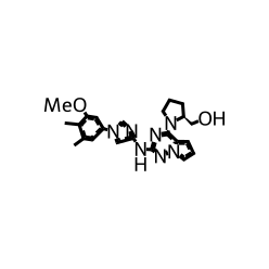 COc1cc(-n2cnc(Nc3nc(N4CCC[C@H]4CO)c4cccn4n3)c2)cc(C)c1C